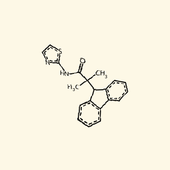 CC(C)(C(=O)Nc1nccs1)C1c2ccccc2-c2ccccc21